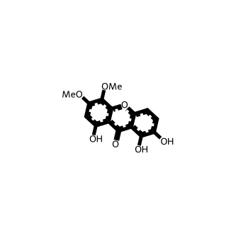 COc1cc(O)c2c(=O)c3c(O)c(O)ccc3oc2c1OC